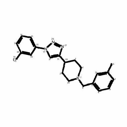 Cc1cccc(CN2CCC(c3cn(-c4cccc(Cl)c4)nn3)CC2)c1